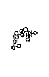 c1ccc(-c2nc(-c3ccccc3)nc(-c3cccc4oc5c(-c6cccc7nc(-c8ccc(-c9ccccc9-c9ccccc9)cc8)oc67)cccc5c34)n2)cc1